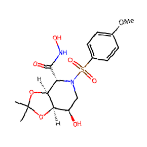 COc1ccc(S(=O)(=O)N2C[C@@H](O)[C@H]3OC(C)(C)O[C@H]3[C@@H]2C(=O)NO)cc1